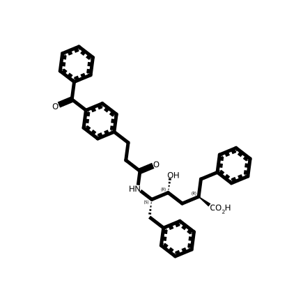 O=C(CCc1ccc(C(=O)c2ccccc2)cc1)N[C@@H](Cc1ccccc1)[C@H](O)C[C@@H](Cc1ccccc1)C(=O)O